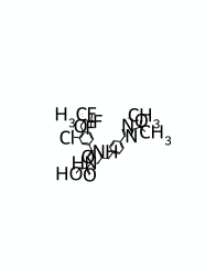 CCn1cc(-c2ccc(C[C@@H](CNC(=O)CO)NC(=O)c3ccc(O[C@H](C)C(F)(F)F)c(Cl)c3)cc2)nc1C(C)=O